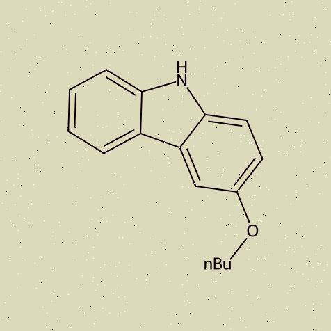 CCCCOc1ccc2[nH]c3ccccc3c2c1